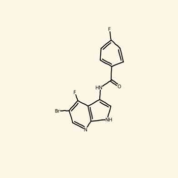 O=C(Nc1c[nH]c2ncc(Br)c(F)c12)c1ccc(F)cc1